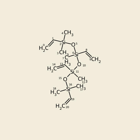 C=C[Si](C)(C)O[Si](C)(C=C)O[Si](C)(C=C)O[Si](C)(C)C=C